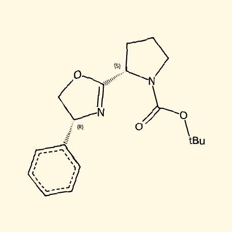 CC(C)(C)OC(=O)N1CCC[C@H]1C1=N[C@H](c2ccccc2)CO1